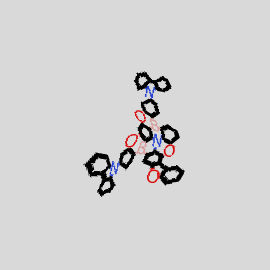 c1cc2c3c(c1)B1c4ccc(-n5c6ccccc6c6ccccc65)cc4Oc4cc5c6c(c41)N3c1c(cc3oc4ccccc4c3c1O2)B6c1ccc(-n2c3ccccc3c3ccccc32)cc1O5